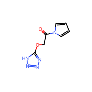 O=C(COc1nnn[nH]1)n1cccc1